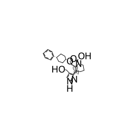 O=C(O)N1CCC[C@@H](c2n[nH]cc2CO)[C@H]1CO[C@H]1CC[C@@H](c2ccccc2)CC1